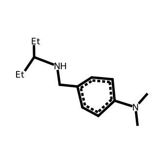 CCC(CC)NCc1ccc(N(C)C)cc1